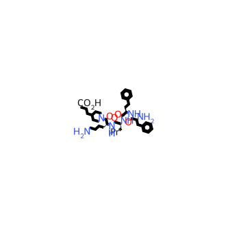 CC(C)C[C@@H](NC(=O)[C@@H](CCc1ccccc1)NC(=O)[C@H](N)Cc1ccccc1)C(=O)N[C@H](CCCCN)C(=O)N1CCC(CCCC(=O)O)CC1